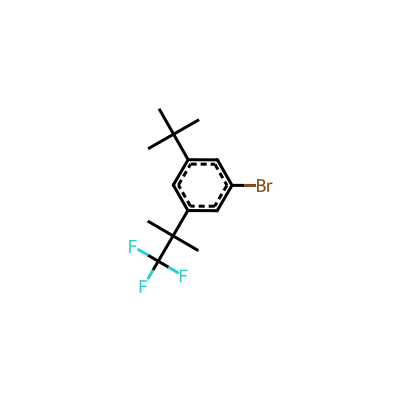 CC(C)(C)c1cc(Br)cc(C(C)(C)C(F)(F)F)c1